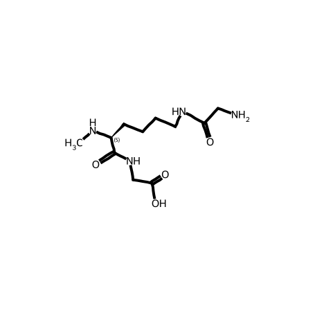 CN[C@@H](CCCCNC(=O)CN)C(=O)NCC(=O)O